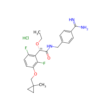 CCO[C@H](C(=O)NCc1ccc(C(=N)N)cc1)c1c(F)ccc(OCC2(C)CC2)c1F.Cl